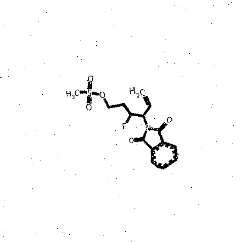 C=CC(C(F)CCOS(C)(=O)=O)N1C(=O)c2ccccc2C1=O